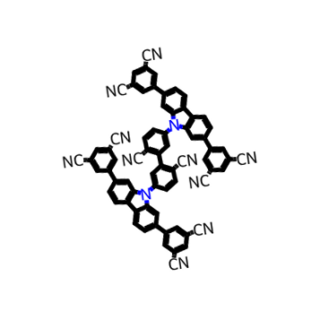 N#Cc1cc(C#N)cc(-c2ccc3c4ccc(-c5cc(C#N)cc(C#N)c5)cc4n(-c4ccc(C#N)c(-c5cc(-n6c7cc(-c8cc(C#N)cc(C#N)c8)ccc7c7ccc(-c8cc(C#N)cc(C#N)c8)cc76)ccc5C#N)c4)c3c2)c1